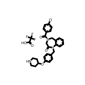 O=C(O)C(F)(F)F.O=C(c1ccc(Cl)cc1)N1CC(=O)N(Cc2ccc(OC3CCNCC3)cc2)c2ccccc2C1